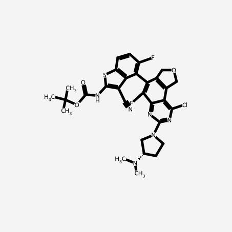 CN(C)[C@H]1CCN(c2nc(Cl)c3c4c(c(-c5c(F)ccc6sc(NC(=O)OC(C)(C)C)c(C#N)c56)c(F)c3n2)COC4)C1